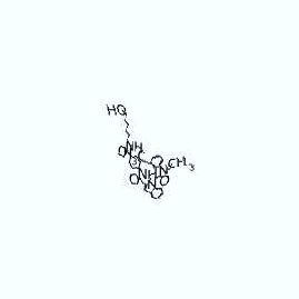 CCc1cccc(N(CC)C(=O)Cn2c(C(=O)N[C@H]3CC[C@H](C(=O)NCCCCCCO)CC3)cc3ccccc32)c1